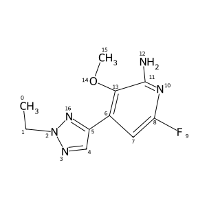 CCn1ncc(-c2cc(F)nc(N)c2OC)n1